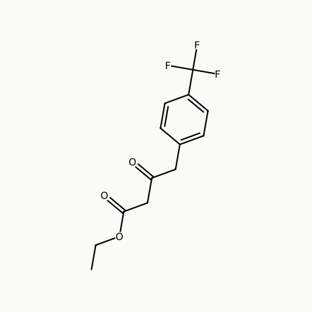 CCOC(=O)CC(=O)Cc1ccc(C(F)(F)F)cc1